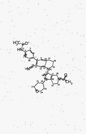 CC(=O)Nc1ccc(-c2cc3c(cc2C#N)N(c2nn(C4CCOCC4)c4c2CN(C(C)=O)CC4)CCC3)cn1